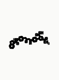 CC(=O)N1CC(C(=O)O)C(c2ccc(NCC(=O)Cc3ccc(NC(=O)N4CCc5ccccc54)cc3)cc2)C1